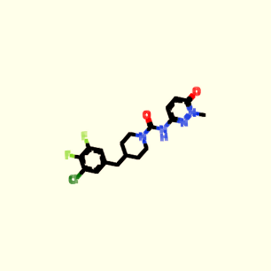 Cn1nc(NC(=O)N2CCC(Cc3cc(F)c(F)c(Cl)c3)CC2)ccc1=O